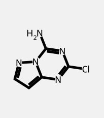 Nc1nc(Cl)nc2ccnn12